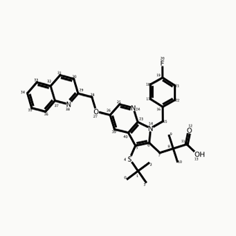 CC(C)(C)Sc1c(CC(C)(C)C(=O)O)n(Cc2ccc(F)cc2)c2ncc(OCc3ccc4ccccc4n3)cc12